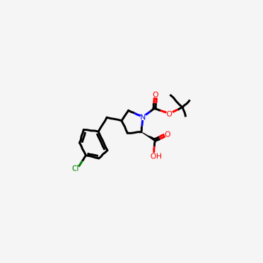 CC(C)(C)OC(=O)N1CC(Cc2ccc(Cl)cc2)C[C@@H]1C(=O)O